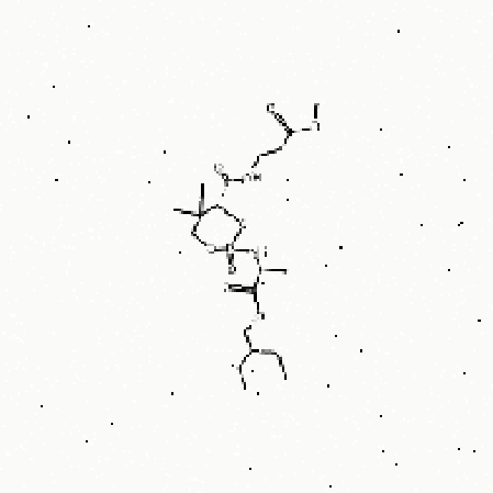 CCC(CC)COC(=O)[C@H](C)N[P@@]1(=O)OCC(C)(C)[C@H](C(=O)NCCC(=O)OC)O1